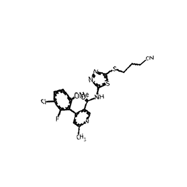 COc1ccc(Cl)c(F)c1-c1cc(C)ncc1C(=O)Nc1nnc(SCCCC#N)s1